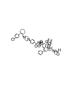 O=C(NS(=O)(=O)c1ccc(NC(CCN2C[C@@H]3CC2CO3)CSc2ccccc2)c(S(=O)(=O)C(F)(F)F)c1)c1ccc(N2CCN(CC3=C(c4ccc(Cl)cc4)CCCCC3)CC2)cc1